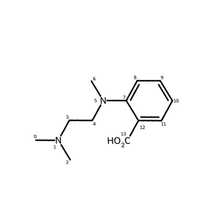 CN(C)CCN(C)c1ccccc1C(=O)O